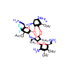 CC(=O)OC[C@H]1O[C@@H](O[C@@H]2[C@@H](OC(C)=O)[C@H](N)C[C@H](N)[C@H]2O[C@H]2O[C@H](CN)C(F)(F)[C@H](OC(C)=O)[C@H]2N)[C@H](OC(C)=O)C1OC1O[C@@H](CN)[C@@H](OC(C)=O)[C@H](OC(C)=O)[C@H]1N